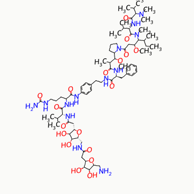 CCC(C)C(C(CC(=O)N1CCCC1C(OC)C(C)C(=O)N[C@@H](Cc1ccccc1)C(=O)NCCc1ccc(NC(=O)C(CCCNC(N)=O)NC(=O)[C@H](NC(=O)C[C@@H]2O[C@H](CNC(=O)CC3OC(CN)[C@@H](O)[C@H]3O)C(O)C2O)C(C)C)cc1)OC)N(C)C(=O)[C@@H](NC(=O)C(C(C)C)N(C)C)C(C)C